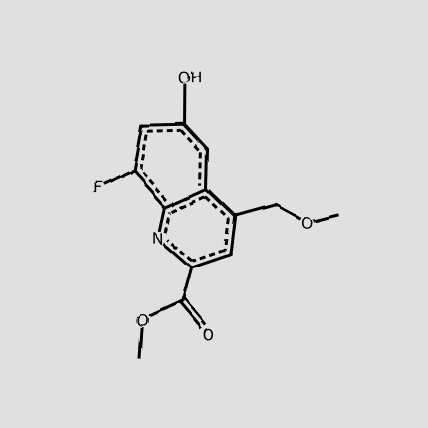 COCc1cc(C(=O)OC)nc2c(F)cc(O)cc12